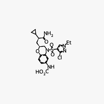 CCn1cc(S(=O)(=O)N2C[C@H](C[C@H](C(N)=O)C3CC3)Oc3ccc(NC(=O)O)cc32)c(Cl)n1